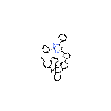 C=C/C=C\C1=C(C)C2(c3ccccc31)c1ccccc1-c1ccc(-c3cccc(-c4cc(-c5ccccc5)nc(-c5ccccc5)n4)c3)cc12